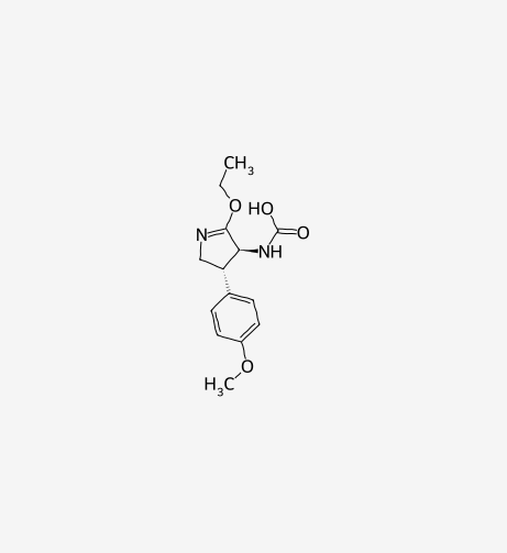 CCOC1=NC[C@@H](c2ccc(OC)cc2)[C@@H]1NC(=O)O